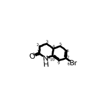 O=C1CCC2CC=C(Br)C=C2N1